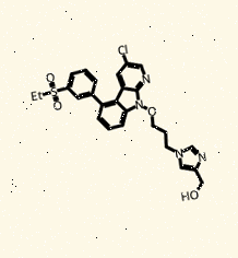 CCS(=O)(=O)c1cccc(-c2cccc3c2c2cc(Cl)cnc2n3OCCCn2cnc(CO)c2)c1